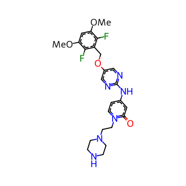 COc1cc(OC)c(F)c(COc2cnc(Nc3ccn(CCN4CCNCC4)c(=O)c3)nc2)c1F